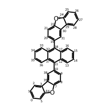 c1ccc2c(c1)oc1ccc(-c3c4ccccc4c(-c4ccc5oc6ccccc6c5c4)c4ccccc34)cc12